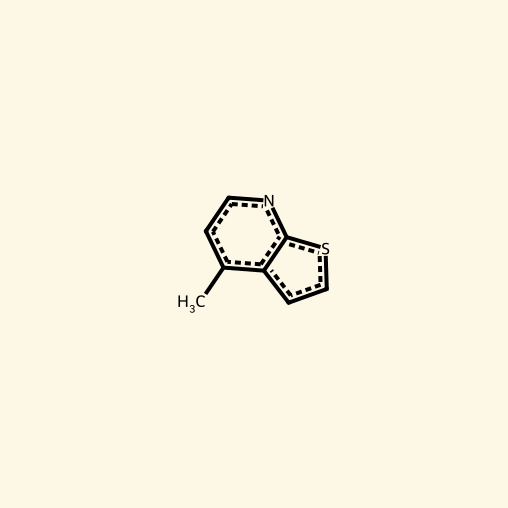 Cc1ccnc2sccc12